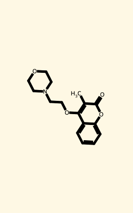 Cc1c(OCCN2CCOCC2)c2ccccc2oc1=O